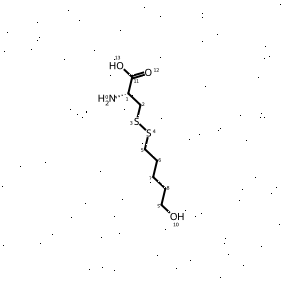 N[C@@H](CSSCCCCCO)C(=O)O